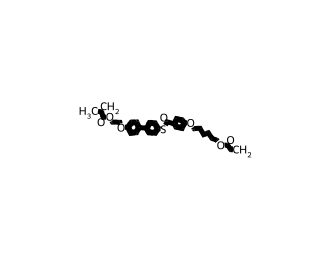 C=CC(=O)OCCCCCCOc1ccc(C(=O)Sc2ccc(-c3ccc(OCCOC(=O)C(=C)C)cc3)cc2)cc1